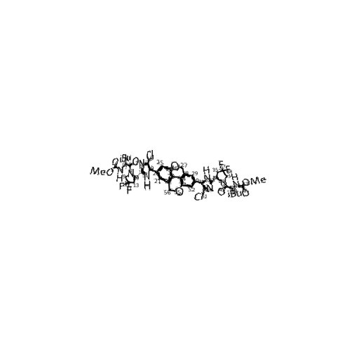 CC[C@H](C)[C@H](NC(=O)OC)C(=O)N1CC(F)(F)C[C@H]1c1nc(Cl)c(-c2cc3c4c(c2)OCc2cc(-c5[nH]c([C@@H]6CC(F)(F)CN6C(=O)[C@@H](NC(=O)OC)[C@@H](C)CC)nc5Cl)cc(c2-4)OC3)[nH]1